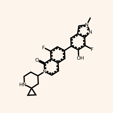 Cn1cc2cc(-c3cc(F)c4c(=O)n(C5CCNC6(CC6)C5)ccc4c3)c(O)c(F)c2n1